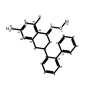 CCON=C1CC(c2ccccc2-c2ccccc2)Cc2nc(N)nc(C)c21